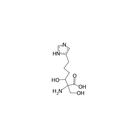 NC(CO)(C(=O)O)C(O)CCCc1cnc[nH]1